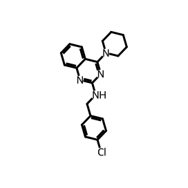 Clc1ccc(CNc2nc(N3CCCCC3)c3ccccc3n2)cc1